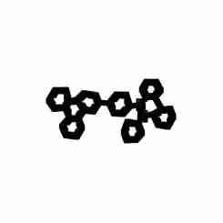 c1ccc(N2B(c3ccc(-c4ccc5c6ccccc6c6ccccc6c5c4)cc3)c3ccccc3-c3ccccc32)cc1